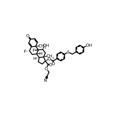 C[C@]12C=CC(=O)C=C1[C@@H](F)C[C@H]1[C@@H]3CC[C@@](OC(=O)c4ccc(SCc5ccc(O)cc5)cc4)(C(=O)OCC#N)[C@@]3(C)C[C@H](O)C12F